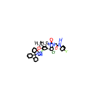 Cc1cc(-c2cc(Cl)cc3c2n(C)c(=O)n3CC(=O)Nc2ccc(F)cc2)cc(F)c1OCc1nncn1C(c1ccccc1)(c1ccccc1)c1ccccc1